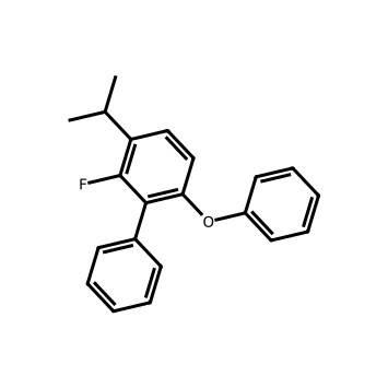 CC(C)c1ccc(Oc2ccccc2)c(-c2ccccc2)c1F